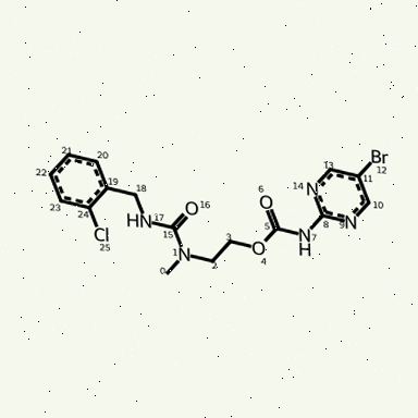 CN(CCOC(=O)Nc1ncc(Br)cn1)C(=O)NCc1ccccc1Cl